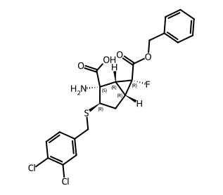 N[C@]1(C(=O)O)[C@H]2[C@@H](C[C@H]1SCc1ccc(Cl)c(Cl)c1)[C@]2(F)C(=O)OCc1ccccc1